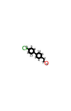 O=[C]Cc1ccc(-c2ccc(Cl)cc2)cc1